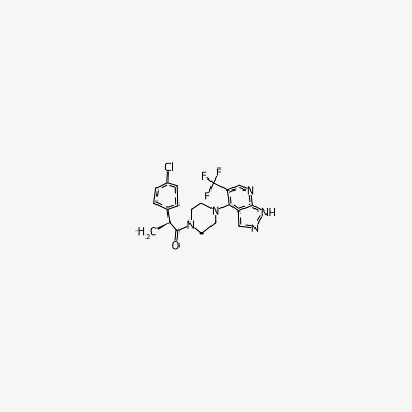 [CH2][C@H](C(=O)N1CCN(c2c(C(F)(F)F)cnc3[nH]ncc23)CC1)c1ccc(Cl)cc1